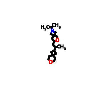 CC(CC1CC2(CO1)CN(C(C)C)C2)C1CC2(CCOCC2)C1